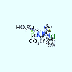 CCOC(=O)C1=C(CN2CCC(/C=C/C(=O)O)C(F)(F)C2)NC(c2nccs2)=N[C@H]1c1ccc(F)cc1Cl